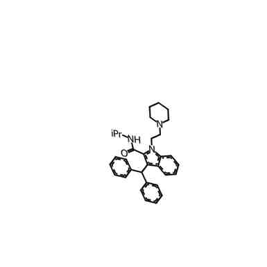 CC(C)NC(=O)c1c(C(c2ccccc2)c2ccccc2)c2ccccc2n1CCN1CCCCC1